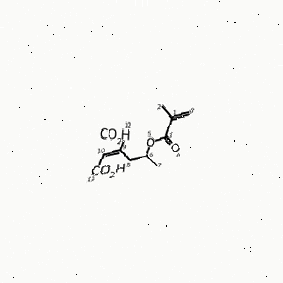 C=C(C)C(=O)OC(C)CC(=CC(=O)O)C(=O)O